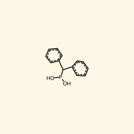 OP(O)C(c1ccccc1)c1ccccc1